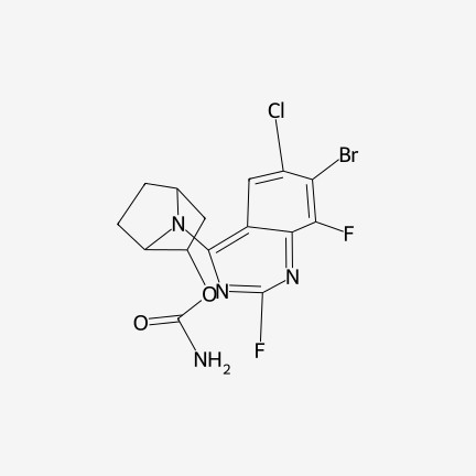 NC(=O)OC1CC2CCC1N2c1nc(F)nc2c(F)c(Br)c(Cl)cc12